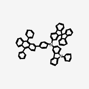 c1ccc(-c2c3ccccc3c(-c3ccccc3)c3cc(-c4ccc(N(c5ccc6c(c5)C5(c7ccccc7-c7ccccc75)c5ccccc5-6)c5ccc6c(c5)c5ccccc5n6-c5ccccc5)cc4)ccc23)cc1